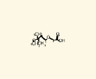 COC(C)(C)CCOCC(=O)O